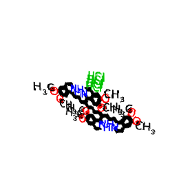 COc1cc2c(cc1OC)C(CCCC(CCCCC(CCCC1NCCc3cc(OC)c(OC)cc31)C1NCCc3cc(OC)c(OC)cc31)C1NCCc3cc(OC)c(OC)cc31)NCC2.Cl.Cl.Cl.Cl